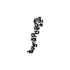 Cc1c(-c2nc3cc(CN4CCC(C)(C(=O)O)C4)cc(C#N)c3o2)cccc1-c1cccc(-c2nc3c(s2)CN(C(=O)CN2CCC(O)C2)C3)c1C